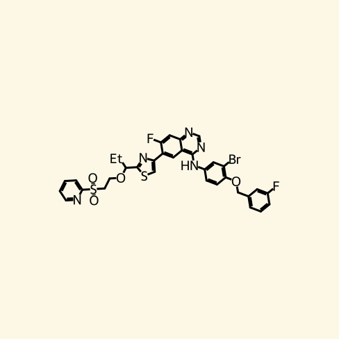 CCC(OCCS(=O)(=O)c1ccccn1)c1nc(-c2cc3c(Nc4ccc(OCc5cccc(F)c5)c(Br)c4)ncnc3cc2F)cs1